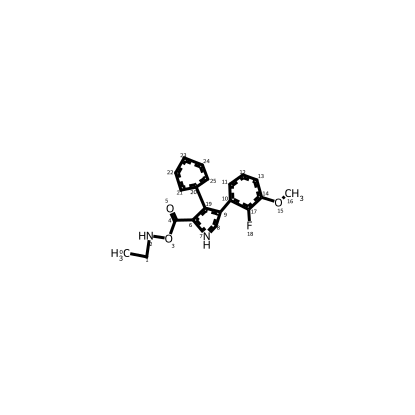 CCNOC(=O)c1[nH]cc(-c2cccc(OC)c2F)c1-c1ccccc1